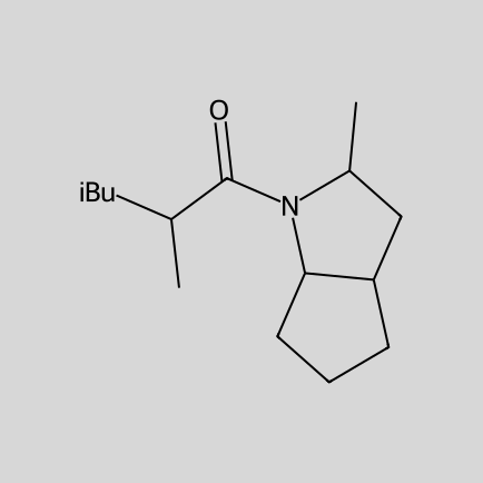 CCC(C)C(C)C(=O)N1C(C)CC2CCCC21